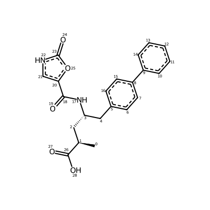 C[C@H](C[C@@H](Cc1ccc(-c2ccccc2)cc1)NC(=O)c1c[nH]c(=O)o1)C(=O)O